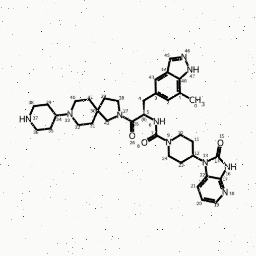 Cc1cc(C[C@@H](NC(=O)N2CCC(n3c(=O)[nH]c4ncccc43)CC2)C(=O)N2CCC3(CCN(C4CCNCC4)CC3)C2)cc2cn[nH]c12